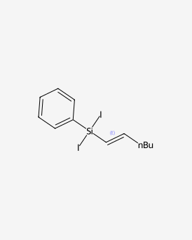 CCCC/C=C/[Si](I)(I)c1ccccc1